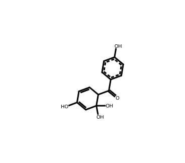 O=C(c1ccc(O)cc1)C1C=CC(O)=CC1(O)O